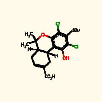 CC(C)(C)c1c(Cl)c(O)c2c(c1Cl)OC(C)(C)[C@@H]1CC=C(C(=O)O)C[C@@H]21